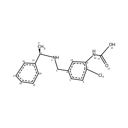 C[C@@H](NCc1ccc(Cl)c(NC(=O)O)c1)c1ccccc1